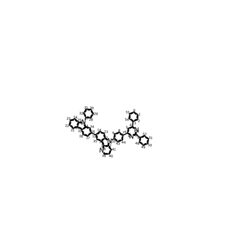 c1ccc(-c2cc(-c3ccc(-n4c5ccc(-c6ccc7c8ccccc8n(-c8ccccc8)c7c6)cc5c5ncccc54)cc3)nc(-c3ccccc3)n2)cc1